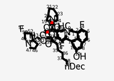 C#Cc1c(F)ccc2cc(O)cc(-c3ncc4c(N5CC6CCC(C5)N6C(=O)OC(C)OC(=O)CCCCCCCCCCCCCCC)nc(OC[C@@]56CCCN5C[C@H](F)C6)nc4c3F)c12